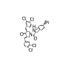 CC(C)c1ccc(C[C@@H](N)C(=O)N2C/C(=C\c3ccc(Cl)c(Cl)c3)C(=O)/C(=C/c3ccc(Cl)c(Cl)c3)C2)cc1